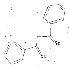 [Se]=C(CC(=[Se])c1ccccc1)c1ccccc1